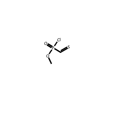 COP(=O)(Cl)C=S